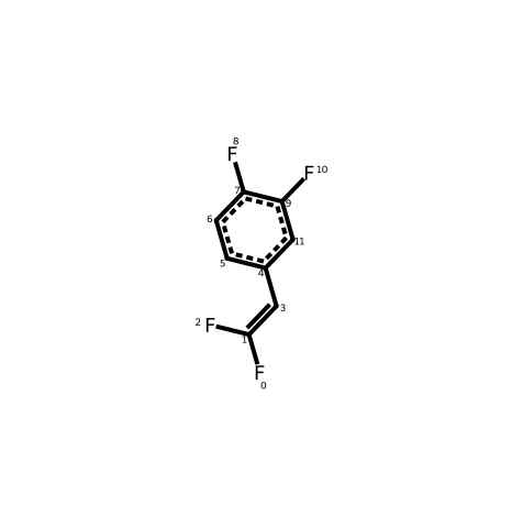 FC(F)=Cc1ccc(F)c(F)c1